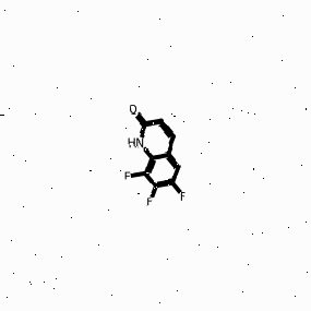 O=c1ccc2cc(F)c(F)c(F)c2[nH]1